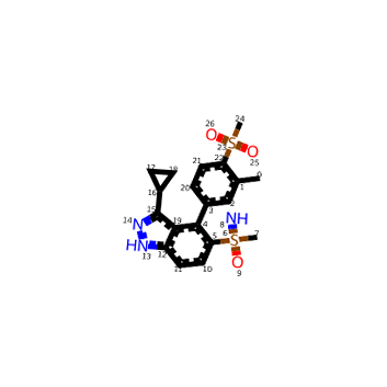 Cc1cc(-c2c(S(C)(=N)=O)ccc3[nH]nc(C4CC4)c23)ccc1S(C)(=O)=O